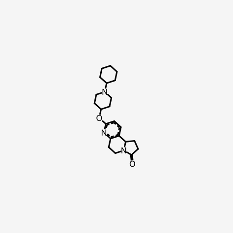 O=C1CCC2c3ccc(OC4CCN(C5CCCCC5)CC4)nc3CCN12